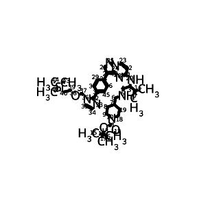 CC(C)C(CNCC1CCN(C(=O)OC(C)(C)C)CC1)Nc1ccn2ncc(-c3ccc(-c4nccn4COCC[Si](C)(C)C)cc3)c2n1